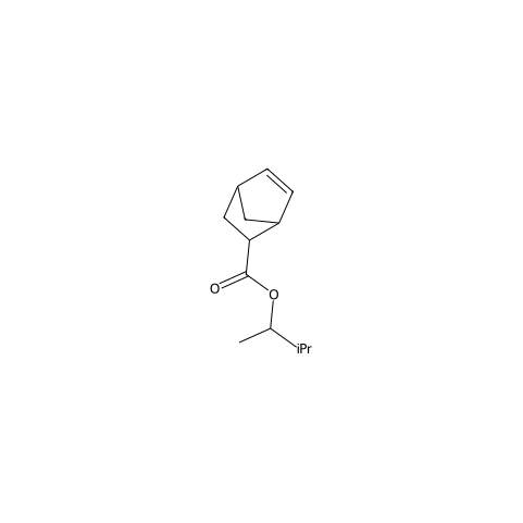 CC(C)C(C)OC(=O)C1CC2C=CC1C2